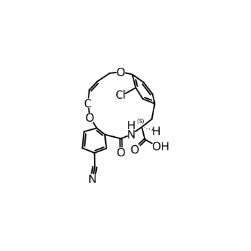 N#Cc1ccc2c(c1)C(=O)N[C@H](C(=O)O)Cc1ccc(c(Cl)c1)OCC=CCO2